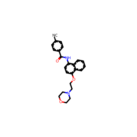 [C-]#[N+]c1ccc(C(=O)Nc2ccc(OCCN3CCOCC3)c3ccccc23)cc1